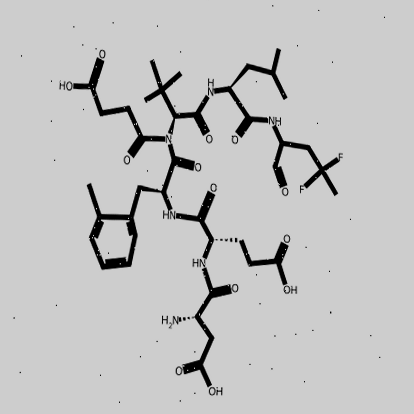 Cc1ccccc1C[C@H](NC(=O)[C@H](CCC(=O)O)NC(=O)[C@@H](N)CC(=O)O)C(=O)N(C(=O)CCC(=O)O)[C@H](C(=O)N[C@@H](CC(C)C)C(=O)NC(C=O)CC(C)(F)F)C(C)(C)C